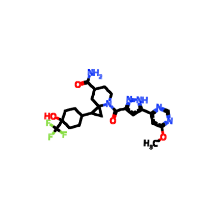 COc1cc(-c2cc(C(=O)N3CCC(C(N)=O)CC34CC4C3CCC(O)(C(F)(F)F)CC3)n[nH]2)ncn1